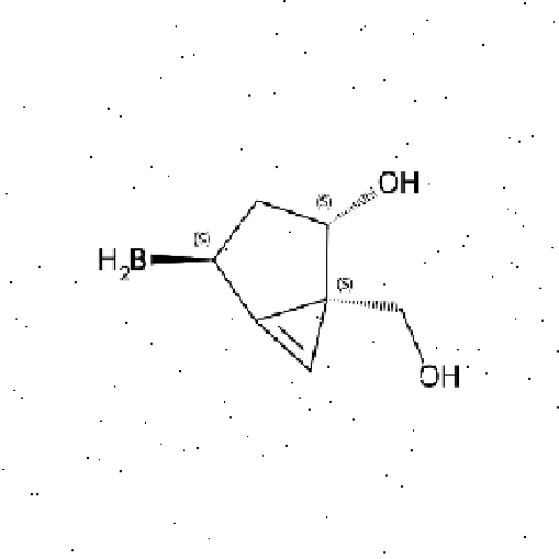 B[C@H]1C[C@H](O)[C@@]2(CO)C=C12